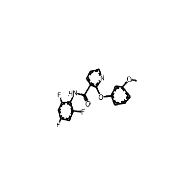 COc1cccc(Oc2ncccc2C(=O)Nc2c(F)cc(F)cc2F)c1